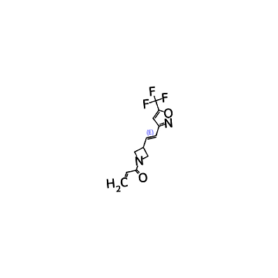 C=CC(=O)N1CC(/C=C/c2cc(C(F)(F)F)on2)C1